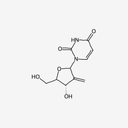 C=C1C(n2ccc(=O)[nH]c2=O)OC(CO)[C@H]1O